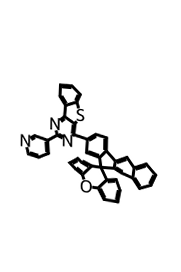 c1cncc(-c2nc(-c3ccc4c(c3)C3(c5ccccc5Oc5ccccc53)c3cc5ccccc5cc3-4)c3sc4ccccc4c3n2)c1